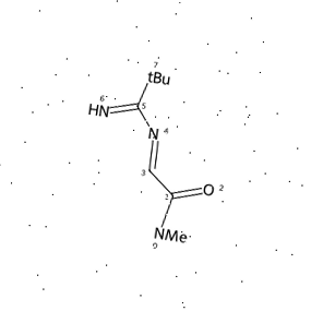 CNC(=O)/C=N/C(=N)C(C)(C)C